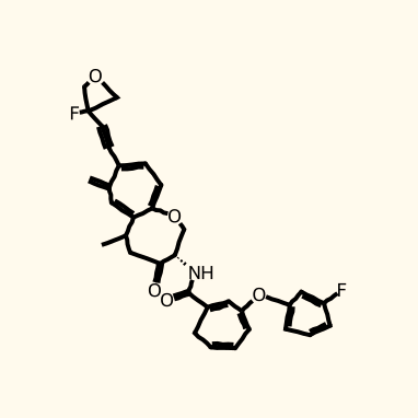 C=C1C=C2C(=CC=C1C#CC1(F)COC1)OC[C@H](NC(=O)C1=CC(Oc3cccc(F)c3)=CC=CC1)C(=O)CC2C